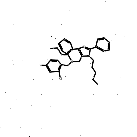 CCCCCn1c(-c2ccccc2)nc(-c2ccccc2)c1CN(CCCC)Cc1ccc(F)cc1Cl